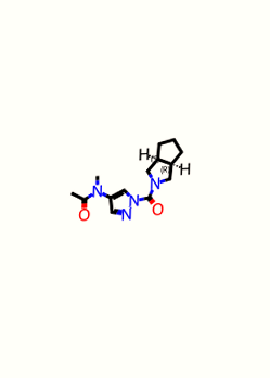 CC(=O)N(C)c1cnn(C(=O)N2C[C@H]3CCC[C@H]3C2)c1